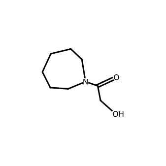 O=C(CO)N1CCCCCC1